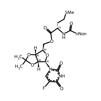 CCCCCCCCCC(=O)N[C@@H](CCSC)C(=O)OC[C@H]1O[C@@H](n2cc(F)c(=O)[nH]c2=O)[C@@H]2OC(C)(C)O[C@@H]21